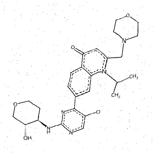 CC(C)n1c(CN2CCOCC2)cc(=O)c2ccc(-c3nc(N[C@@H]4CCOC[C@H]4O)ncc3Cl)cc21